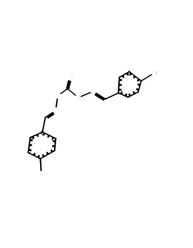 CC(=O)Nc1ccc(/C=N/NC(=N)N/N=C/c2ccc(NC(C)=O)cc2)cc1